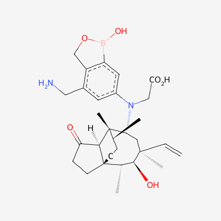 C=C[C@]1(C)C[C@@H](N(CC(=O)O)c2cc(CN)c3c(c2)B(O)OC3)[C@]2(C)[C@H](C)CC[C@]3(CCC(=O)[C@H]32)[C@@H](C)[C@@H]1O